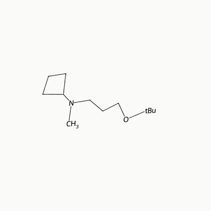 CN(CCCOC(C)(C)C)C1CCC1